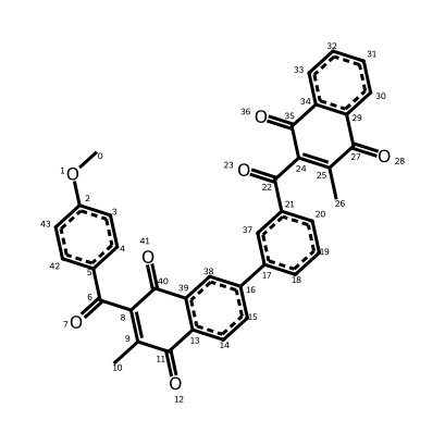 COc1ccc(C(=O)C2=C(C)C(=O)c3ccc(-c4cccc(C(=O)C5=C(C)C(=O)c6ccccc6C5=O)c4)cc3C2=O)cc1